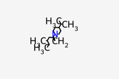 C=C(CC(C)CC)N1CCC(C(C)C)CC1